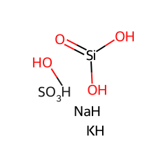 O=S(=O)(O)O.O=[Si](O)O.[KH].[NaH]